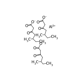 CCC(C)CC(=O)CC(=O)[O-].CCC(C)CC(=O)CC(=O)[O-].CCC(C)CC(=O)CC(=O)[O-].[Al+3]